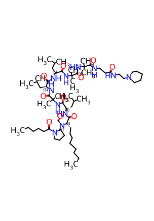 CCCCCCCC[C@@H](C(=O)N[C@@H](CC(C)C)C(=O)NC(C)(C)C(=O)N[C@@H](CC(C)C)C(=O)N[C@@H](CC(C)C)C(=O)NC(C)(C)C(=O)NC(C)(C)C(=O)NCCC(=O)NCCN1CCCCC1)N(C=O)[C@@H]1CCCN1C(=O)CCCCC